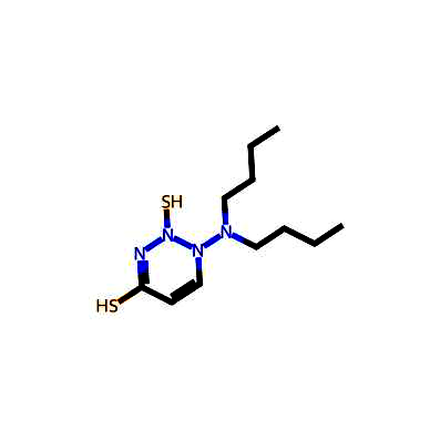 CCCCN(CCCC)N1C=CC(S)=NN1S